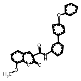 COc1cccc2cc(C(=O)Nc3cccc(-c4ccc(Oc5ccccc5)cc4)c3)c(=O)oc12